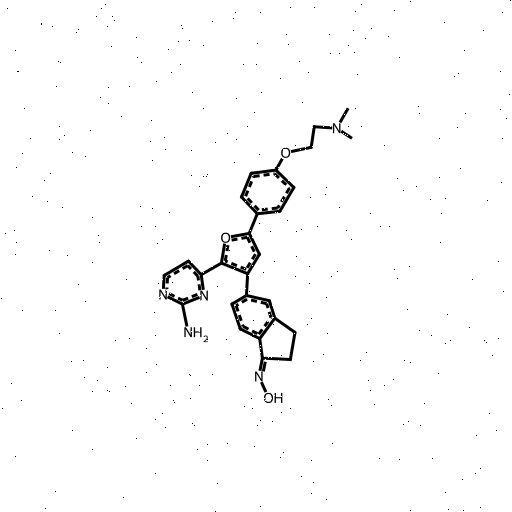 CN(C)CCOc1ccc(-c2cc(-c3ccc4c(c3)CCC4=NO)c(-c3ccnc(N)n3)o2)cc1